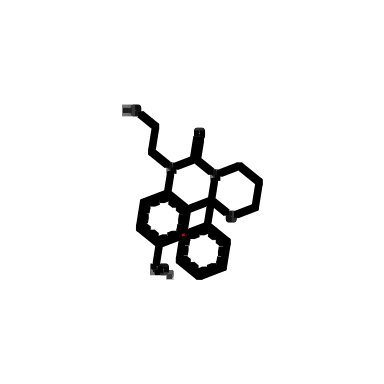 O=C1N(CCO)c2ccc([N+](=O)[O-])cc2C2(c3ccccc3)OCCCN12